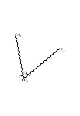 C=C(CC(=O)OCCCCCCCCCCCCCCCCCC)C(=O)OCCCCCCCCCCCCCCCCCC